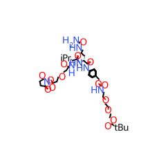 CC(C)[C@@H](NC(=O)CCOCCC(=O)ON1C(=O)CCC1=O)C(=O)N[C@H](CCCNC(N)=O)C(=O)Nc1ccc(COC(=O)NCCOCCOCCOC(=O)C(C)(C)C)cc1